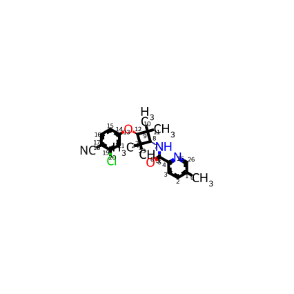 Cc1ccc(C(=O)N[C@H]2C(C)(C)[C@H](Oc3ccc(C#N)c(Cl)c3)C2(C)C)nc1